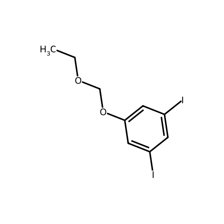 CCOCOc1cc(I)cc(I)c1